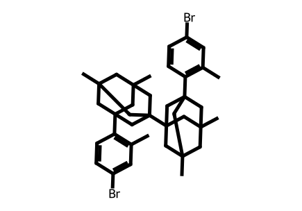 Cc1cc(Br)ccc1C12CC3(C)CC(C)(C1)CC(C14CC5(C)CC(C)(CC(c6ccc(Br)cc6C)(C5)C1)C4)(C3)C2